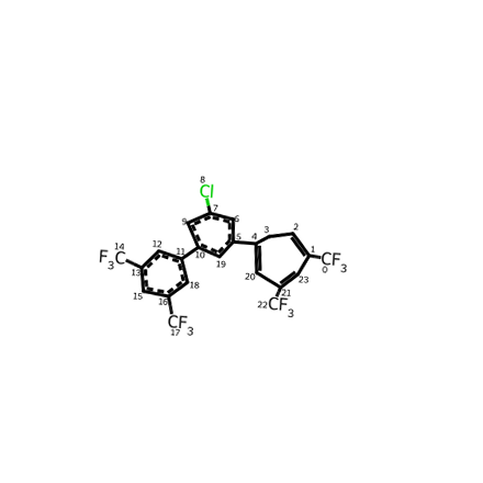 FC(F)(F)C1=CCC(c2cc(Cl)cc(-c3cc(C(F)(F)F)cc(C(F)(F)F)c3)c2)=CC(C(F)(F)F)=C1